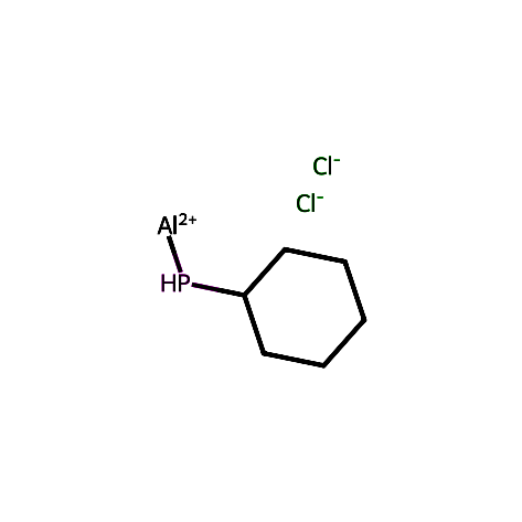 [Al+2][PH]C1CCCCC1.[Cl-].[Cl-]